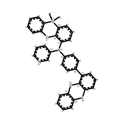 C[Si]1(C)c2ccccc2Oc2c(N(c3ccc(-c4cccc5c4Oc4ccccc4S5)cc3)c3cccnc3)cccc21